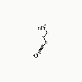 CCCCCCC#C[O]